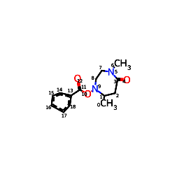 CC1CC(=O)N(C)CCN1OC(=O)c1ccccc1